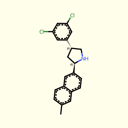 Cc1ccc2cc([C@H]3C[C@H](c4cc(Cl)cc(Cl)c4)CN3)ccc2c1